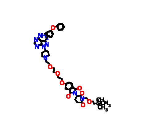 C[Si](C)(C)CCOCN1C(=O)CCC(N2C(=O)c3ccc(OCCOCCOCCN4CCC(n5nc(-c6ccc(Oc7ccccc7)cc6)c6c(N)ncnc65)CC4)cc3C2=O)C1=O